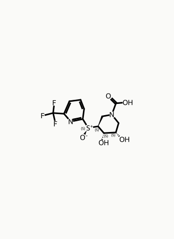 O=C(O)N1C[C@H](O)[C@H](O)[C@@H]([S@@+]([O-])c2cccc(C(F)(F)F)n2)C1